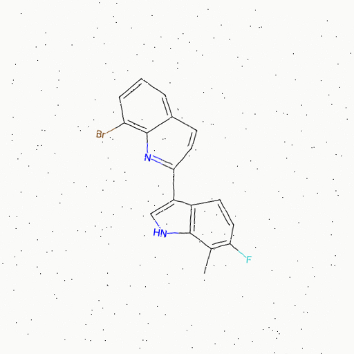 Cc1c(F)ccc2c(-c3ccc4cccc(Br)c4n3)c[nH]c12